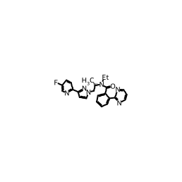 CCN(C(=O)c1ccccc1-c1ncccn1)[C@@H](C)Cn1ccc(-c2ccc(F)cn2)n1